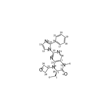 CC[C@@H]1C(=O)N(C)c2cnc(-n3ccnc3-c3ccccc3)nc2N1C1COC1